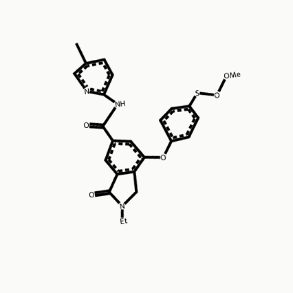 CCN1Cc2c(Oc3ccc(SOOC)cc3)cc(C(=O)Nc3ccc(C)cn3)cc2C1=O